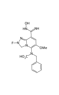 COC1=C(N(Cc2ccccc2)C(=O)O)N2CN(F)N=C2C(C(=N)NO)=C1